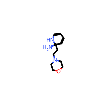 NC1(CCN2CCOCC2)C=CC=CN1